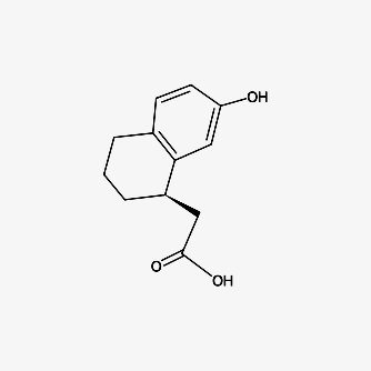 O=C(O)C[C@H]1CCCc2ccc(O)cc21